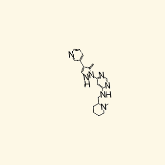 C=C1C(c2cccnc2)=CNN1c1cc(NCC2CCCCN2C)ncn1